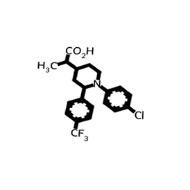 CC(C(=O)O)C1CCN(c2ccc(Cl)cc2)C(c2ccc(C(F)(F)F)cc2)C1